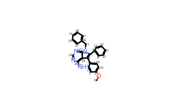 COc1ccc(-c2c(-c3ccccc3)n(Cc3ccccc3)c3ncnc(N)c23)cc1